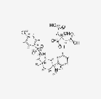 CN(C)C1(c2ccccc2)CCC(C)(CNS(=O)(=O)c2ccc(Cl)cc2)CC1.O=C(O)CC(O)(CC(=O)O)C(=O)O